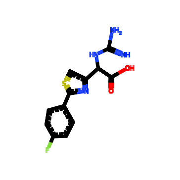 N=C(N)NC(C(=O)O)c1csc(-c2ccc(F)cc2)n1